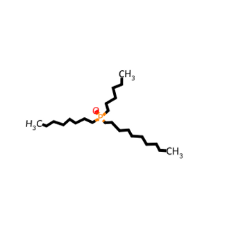 CCCCCCCCCCP(=O)(CCCCCC)CCCCCCCC